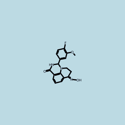 COc1cc(C2NC(=O)c3cccc4c3N2CCC4=NO)ccc1F